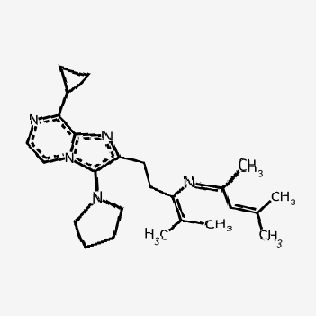 CC(C)=C/C(C)=N\C(CCc1nc2c(C3CC3)nccn2c1N1CCCC1)=C(C)C